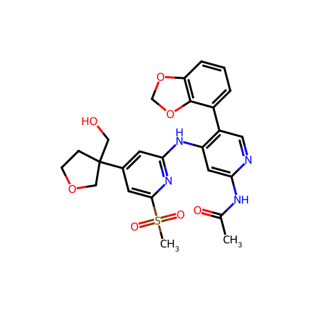 CC(=O)Nc1cc(Nc2cc(C3(CO)CCOC3)cc(S(C)(=O)=O)n2)c(-c2cccc3c2OCO3)cn1